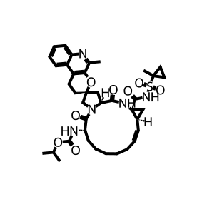 Cc1nc2ccccc2c2c1O[C@]1(CC2)C[C@H]2C(=O)N[C@]3(C(=O)NS(=O)(=O)C4(C)CC4)C[C@H]3/C=C\CCCCC[C@H](NC(=O)OC(C)C)C(=O)N2C1